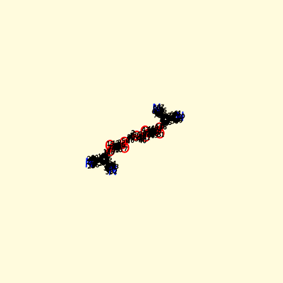 CC(C)(CCOC(=O)C(C)(C)C(C)(C)C(=O)OCc1cc(-c2ccncc2)cc(-c2ccncc2)c1)OCC(C)(C)OC(=O)C(C)(C)C(C)(C)C(=O)OCc1cc(-c2ccncc2)cc(-c2ccncc2)c1